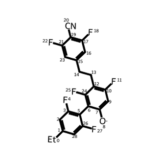 CCc1cc(F)c(-c2c([O])cc(F)c(CCc3cc(F)c(C#N)c(F)c3)c2F)c(F)c1